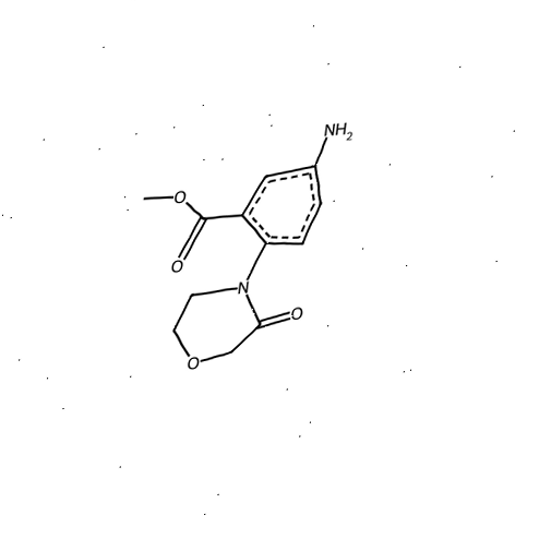 COC(=O)c1cc(N)ccc1N1CCOCC1=O